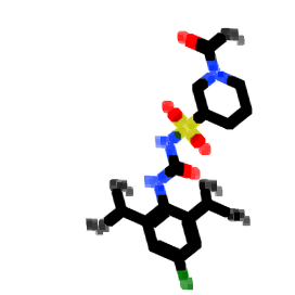 CC(=O)N1CCCC(S(=O)(=O)NC(=O)Nc2c(C(C)C)cc(Cl)cc2C(C)C)C1